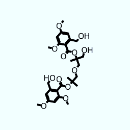 COc1cc(CO)c(C(=O)OC(C)(C)COCC(C)(CO)OC(=O)c2c(CO)cc(OC)cc2OC)c(OC)c1